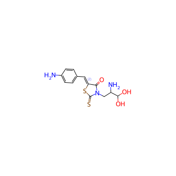 Nc1ccc(/C=C2\SC(=S)N(CC(N)C(O)O)C2=O)cc1